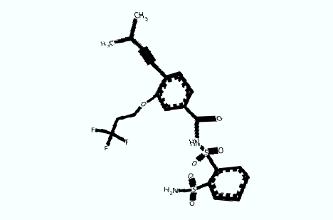 CC(C)C#Cc1ccc(C(=O)NS(=O)(=O)c2ccccc2S(N)(=O)=O)cc1OCCC(F)(F)F